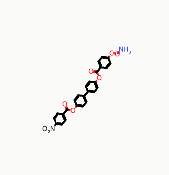 NOOc1ccc(C(=O)Oc2ccc(-c3ccc(OC(=O)c4ccc([N+](=O)[O-])cc4)cc3)cc2)cc1